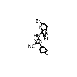 CCn1nc2ccc(Br)nc2c1Nc1nc(-c2ccc(F)cc2)c(C#N)s1